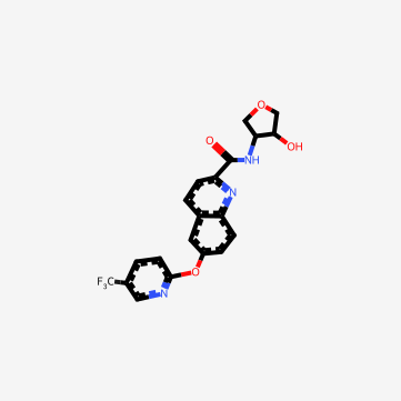 O=C(NC1COCC1O)c1ccc2cc(Oc3ccc(C(F)(F)F)cn3)ccc2n1